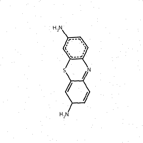 Nc1ccc2c(c1)SC1=CC(N)C=CC1=N2